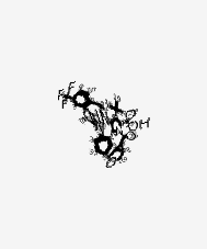 COc1cc(C(F)(F)F)ccc1CN[C@@H]1[C@@H](C(C)(C)C)[C@H](C(=O)O)N(C(=O)C2C3COCC32)[C@@H]1c1ccccc1N(C)C